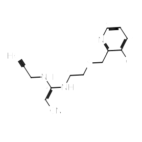 C#CCN/C(=C/C#N)NCCSCc1ncccc1Cl